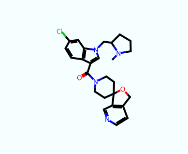 CN1CCCC1Cn1cc(C(=O)N2CCC3(CC2)OCc2ccncc23)c2ccc(Cl)cc21